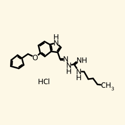 CCCCCNC(=N)NN=Cc1c[nH]c2ccc(OCc3ccccc3)cc12.Cl